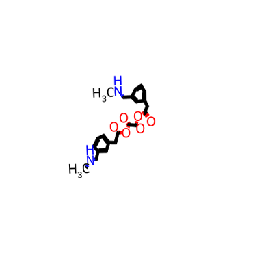 CNCc1cccc(CC(=O)OC(=O)C(=O)OC(=O)Cc2cccc(CNC)c2)c1